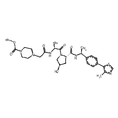 Cc1ncsc1-c1ccc([C@H](C)NC(=O)[C@@H]2C[C@@H](O)CN2C(=O)[C@@H](NC(=O)CN2CCN(C(=O)OC(C)(C)C)CC2)C(C)(C)C)cc1